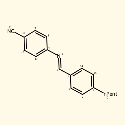 CCCCCc1ccc(C=Nc2ccc(C#N)cc2)cc1